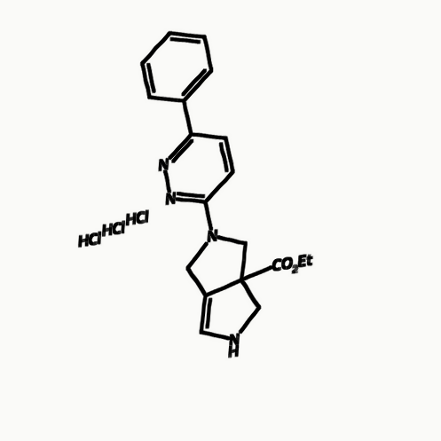 CCOC(=O)C12CNC=C1CN(c1ccc(-c3ccccc3)nn1)C2.Cl.Cl.Cl